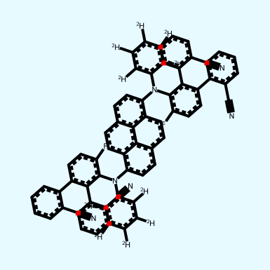 [2H]c1c([2H])c([2H])c(N(c2c(F)ccc(-c3ccccc3C#N)c2-c2ccccc2C#N)c2ccc3ccc4c(N(c5c([2H])c([2H])c([2H])c([2H])c5[2H])c5c(F)ccc(-c6ccccc6C#N)c5-c5ccccc5C#N)ccc5ccc2c3c54)c([2H])c1[2H]